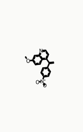 C=C(c1ccc([N+](=O)[O-])cc1)c1ccnc2cc(OC)ccc12